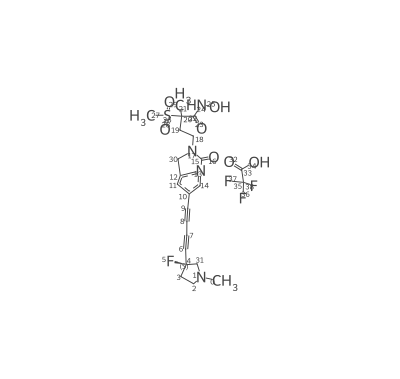 CN1CC[C@](F)(C#CC#Cc2cc3n(c2)C(=O)N(CCC(C)(C(=O)NO)S(C)(=O)=O)C3)C1.O=C(O)C(F)(F)F